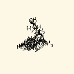 C=C.C=C.C=C.C=C.C=C.C=C.C=C.C=C.C=C.CCOCC1CO1.OCCO